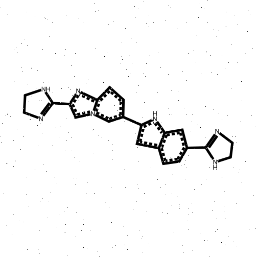 c1cc2cc(-c3ccc4nc(C5=NCCN5)cn4c3)[nH]c2cc1C1=NCCN1